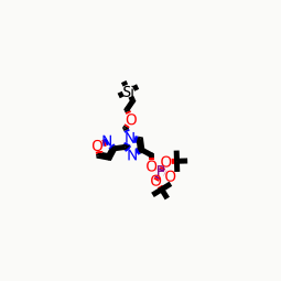 CC(C)(C)OP(=O)(OCc1cn(COCC[Si](C)(C)C)c(-c2ccon2)n1)OC(C)(C)C